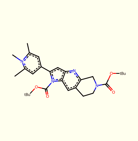 Cc1cc(-c2cc3nc4c(cc3n2C(=O)OC(C)(C)C)CCN(C(=O)OC(C)(C)C)C4)cc(C)[n+]1C